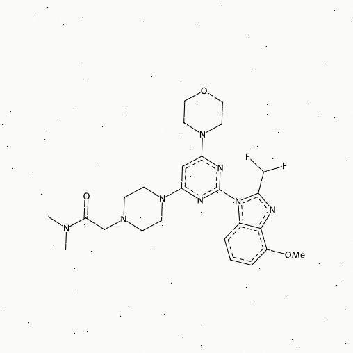 COc1cccc2c1nc(C(F)F)n2-c1nc(N2CCOCC2)cc(N2CCN(CC(=O)N(C)C)CC2)n1